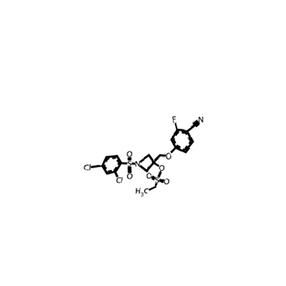 CCS(=O)(=O)OC1(COc2ccc(C#N)c(F)c2)CN(S(=O)(=O)c2ccc(Cl)cc2Cl)C1